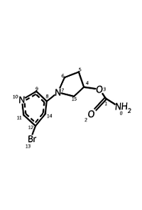 NC(=O)OC1CCN(c2cncc(Br)c2)C1